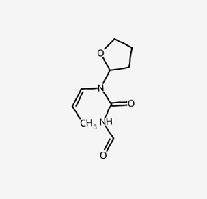 C/C=C\N(C(=O)NC=O)C1CCCO1